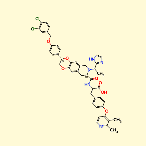 Cc1nccc(Oc2ccc(CC(NC(=O)[C@@H]3Cc4cc5c(cc4CN3C(C)c3ncc[nH]3)O[C@@H](c3ccc(OCc4ccc(Cl)c(Cl)c4)cc3)CO5)C(=O)O)cc2)c1C